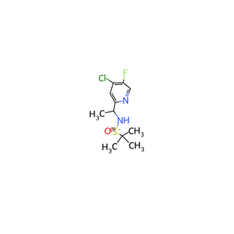 CC(N[S@+]([O-])C(C)(C)C)c1cc(Cl)c(F)cn1